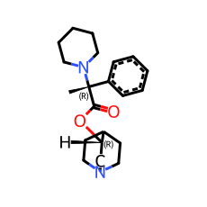 C[C@](C(=O)O[C@H]1CN2CCC1CC2)(c1ccccc1)N1CCCCC1